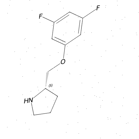 Fc1cc(F)cc(OC[C@@H]2CCCN2)c1